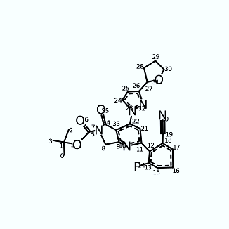 CC(C)(C)OC(=O)N1Cc2nc(-c3c(F)cccc3C#N)cc(-n3ccc(C4CCCO4)n3)c2C1=O